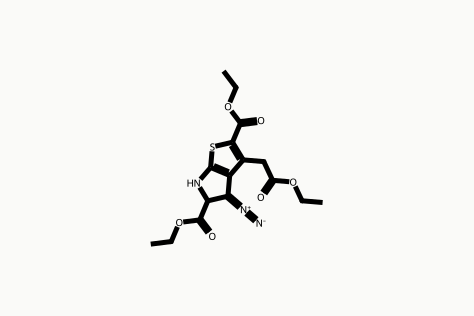 CCOC(=O)Cc1c(C(=O)OCC)sc2c1C(=[N+]=[N-])C(C(=O)OCC)N2